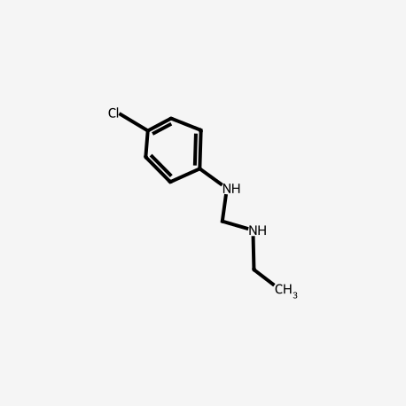 CCNCNc1ccc(Cl)cc1